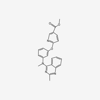 COC(=O)c1ccc(Oc2cccc(N(C)c3nc(C)nc4ccccc34)c2)nc1